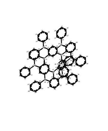 c1ccc(N2c3cc4c(cc3B3c5cc6c(cc5N(c5ccccc5)c5cccc2c53)N(c2ccccc2)c2cccc3c2B6c2sc5ccccc5c2N3c2ccccc2)B2c3sc5ccccc5c3N(c3ccccc3)c3cccc(c32)N4c2ccccc2)cc1